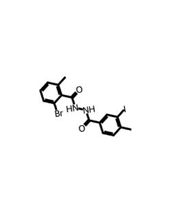 Cc1ccc(C(=O)NNC(=O)c2c(C)cccc2Br)cc1I